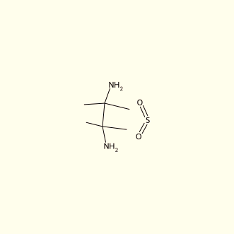 CC(C)(N)C(C)(C)N.O=S=O